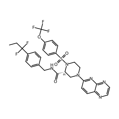 CCC(F)(F)c1ccc(CNC(=O)[C@H]2CN(c3ccc4nccnc4n3)CCN2S(=O)(=O)c2ccc(OC(F)(F)F)cc2)cc1